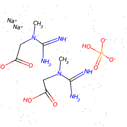 CN(CC(=O)O)C(=N)N.CN(CC(=O)O)C(=N)N.O=P([O-])([O-])O.[Na+].[Na+]